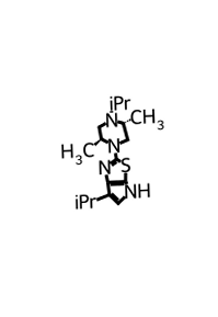 CC(C)c1c[nH]c2sc(N3C[C@@H](C)N(C(C)C)C[C@@H]3C)nc12